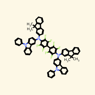 CC1(C)C2=C(C=CCC2)c2ccc(N(c3ccc4c(c3)c3ccccc3n4-c3ccccc3)c3c(F)c(F)c(-c4c(F)c(F)c(N(c5ccc6c(c5)C(C)(C)c5ccccc5-6)c5ccc6c(c5)c5ccccc5n6-c5ccccc5)c(F)c4F)c(F)c3F)cc21